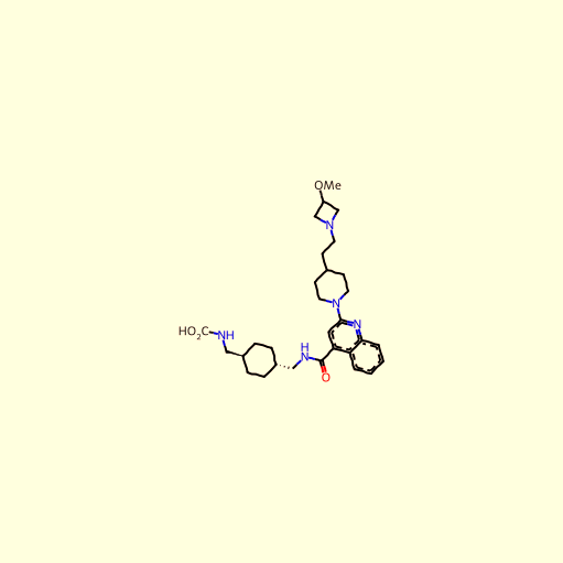 COC1CN(CCC2CCN(c3cc(C(=O)NC[C@H]4CC[C@H](CNC(=O)O)CC4)c4ccccc4n3)CC2)C1